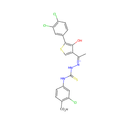 C/C(=N/NC(=S)Nc1ccc(C(=O)O)c(Cl)c1)c1csc(-c2ccc(Cl)c(Cl)c2)c1O